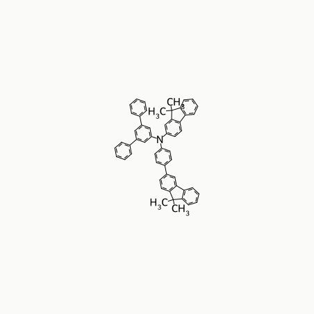 CC1(C)c2ccccc2-c2cc(-c3ccc(N(c4cc(-c5ccccc5)cc(-c5ccccc5)c4)c4ccc5c(c4)C(C)(C)c4ccccc4-5)cc3)ccc21